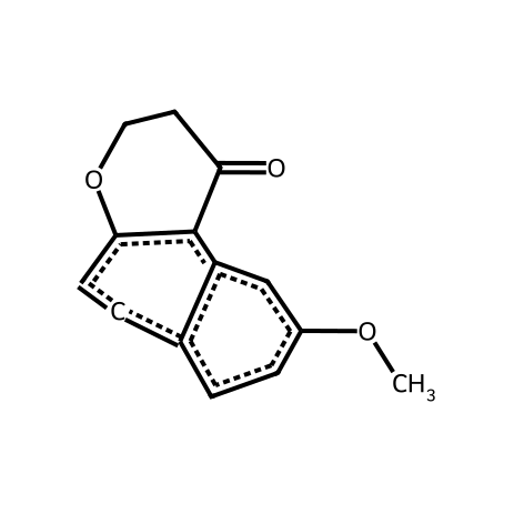 COc1ccc2ccc3c(c2c1)C(=O)CCO3